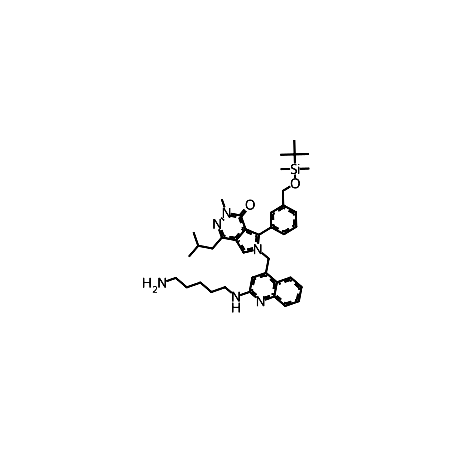 CC(C)Cc1nn(C)c(=O)c2c(-c3cccc(CO[Si](C)(C)C(C)(C)C)c3)n(Cc3cc(NCCCCCN)nc4ccccc34)cc12